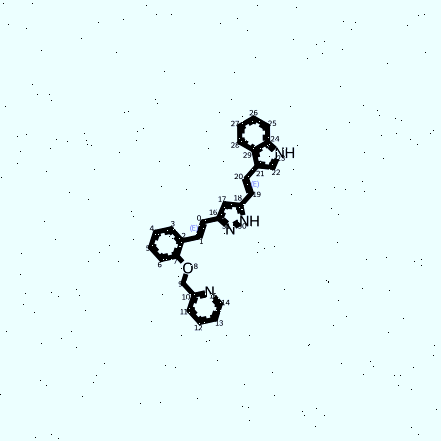 C(=C\c1ccccc1OCc1ccccn1)/c1cc(/C=C/c2c[nH]c3ccccc23)[nH]n1